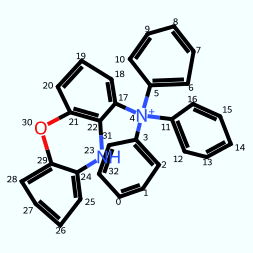 c1ccc([N+](c2ccccc2)(c2ccccc2)c2cccc3c2Nc2ccccc2O3)cc1